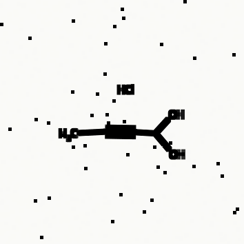 CC#CC(O)O.Cl